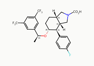 C[C@H](O[C@@H]1CC[C@@H]2CN(C(=O)O)C[C@@H]2[C@H]1c1ccc(F)cc1)c1cc(C(F)(F)F)cc(C(F)(F)F)c1